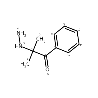 CC(C)(NN)C(=O)c1ccccc1